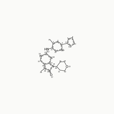 Cc1cc(-c2cccs2)ncc1Nc1ncc2c(n1)n(C1CCOCC1)c(=O)n2C